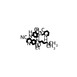 CCOc1cc2ncc(C#N)c(Nc3ccc(OCC4NCCCC4C)c(Cl)c3)c2cc1NC(=O)/C=C/CN(C)C